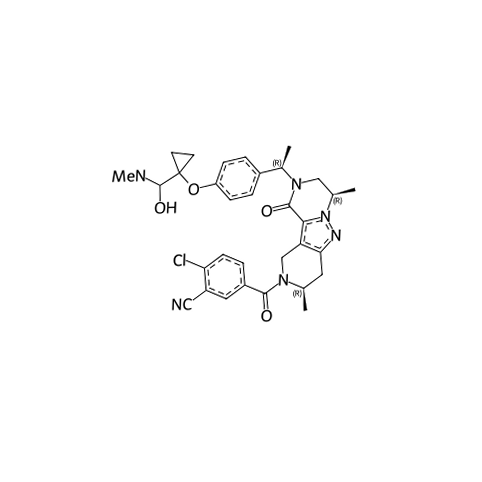 CNC(O)C1(Oc2ccc([C@@H](C)N3C[C@@H](C)n4nc5c(c4C3=O)CN(C(=O)c3ccc(Cl)c(C#N)c3)[C@H](C)C5)cc2)CC1